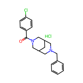 Cl.O=C(c1ccc(Cl)cc1)N1C[C]2CC(CN(Cc3ccccc3)C2)C1